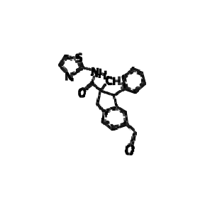 CC1(C(=O)Nc2nccs2)Cc2ccc(C=O)cc2C1c1ccccc1